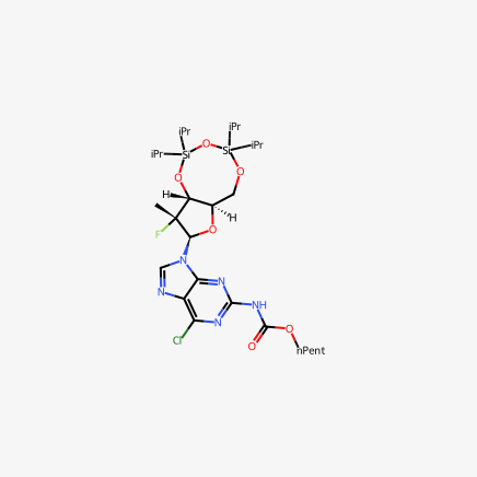 CCCCCOC(=O)Nc1nc(Cl)c2ncn([C@@H]3O[C@@H]4CO[Si](C(C)C)(C(C)C)O[Si](C(C)C)(C(C)C)O[C@H]4[C@@]3(C)F)c2n1